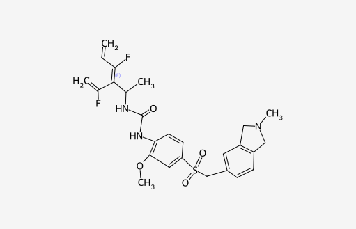 C=C/C(F)=C(\C(=C)F)C(C)NC(=O)Nc1ccc(S(=O)(=O)Cc2ccc3c(c2)CN(C)C3)cc1OC